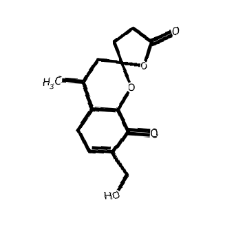 CC1CC2(CCC(=O)O2)OC2C(=O)C(CO)=CCC12